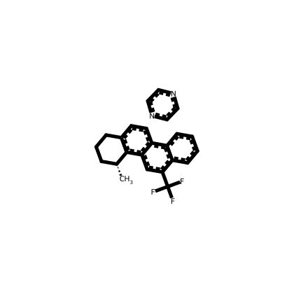 C[C@@H]1CCCc2ccc3c(cc(C(F)(F)F)c4ccccc43)c21.c1cnccn1